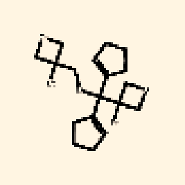 CCC1(COC(C2=CCCC2)(C2=CCCC2)C2(CC)COC2)COC1